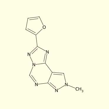 Cn1cc2c(ncn3nc(-c4ccco4)nc23)n1